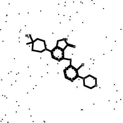 CC1(N)CCN(c2cnc(Sc3ccnc(N4CCOCC4)c3Cl)c3c2CNC3=O)CC1